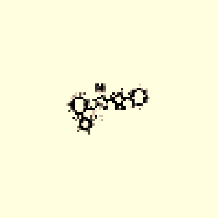 C1=CCCC(c2ccc(C3=NC(C([Se]c4ccccc4)C4=CCCC=CCC4)CC3)cc2)=CCC1.[Ni]